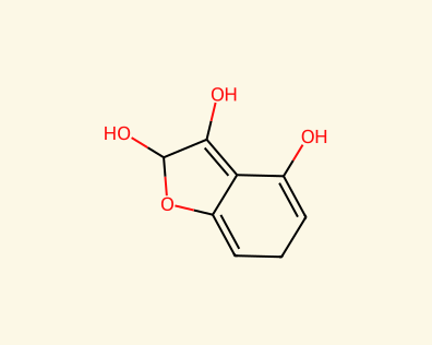 OC1=CCC=C2OC(O)C(O)=C12